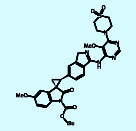 COc1ccc2c(c1)[C@]1(C[C@H]1c1ccc3c(c1)CN=C3Nc1ncnc(N3CCS(=O)(=O)CC3)c1OC)C(=O)N2C(=O)OC(C)(C)C